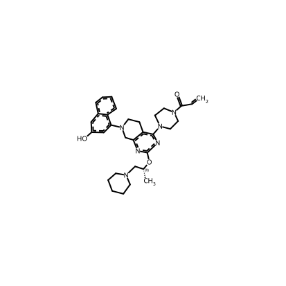 C=CC(=O)N1CCN(c2nc(O[C@H](C)CN3CCCCC3)nc3c2CCN(c2cc(O)cc4ccccc24)C3)CC1